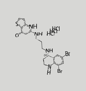 Cl.Cl.Cl.O=c1cc(NCCCN[C@H]2CCNc3c(Br)cc(Br)cc32)[nH]c2ccsc12